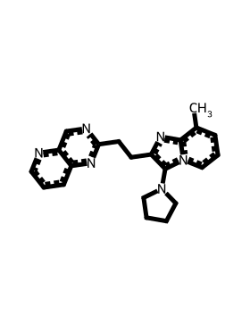 Cc1cccn2c(N3CCCC3)c(CCc3ncc4ncccc4n3)nc12